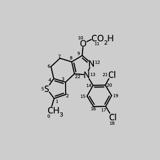 Cc1cc2c(s1)CCc1c(OC(=O)O)nn(-c3ccc(Cl)cc3Cl)c1-2